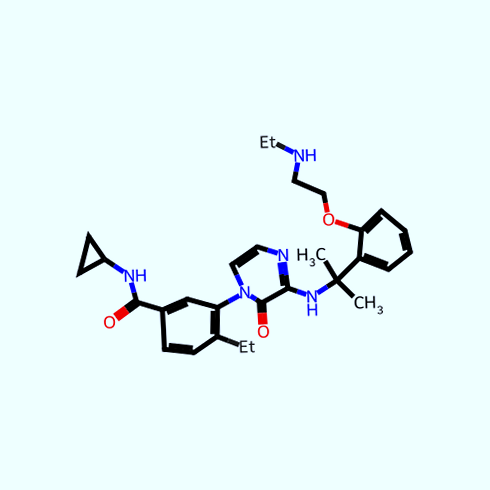 CCNCCOc1ccccc1C(C)(C)Nc1nccn(-c2cc(C(=O)NC3CC3)ccc2CC)c1=O